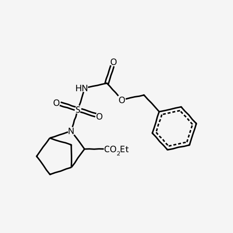 CCOC(=O)C1C2CCC(C2)N1S(=O)(=O)NC(=O)OCc1ccccc1